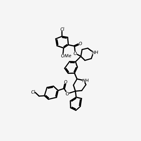 COc1ccc(Cl)cc1C(=O)OC1(c2cccc(C3CC(OC(=O)c4ccc(CCl)cc4)(c4ccccc4)CCN3)c2)CCNCC1